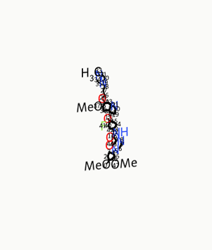 COc1ccc(-n2ccnc(C(=O)Nc3ccc(Oc4ccnc5cc(OCCCN6CCN(C)CC6)c(OC)cc45)c(F)c3)c2=O)cc1OC